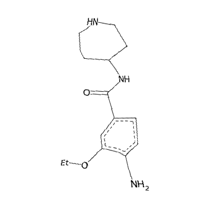 CCOc1cc(C(=O)NC2CCNCC2)ccc1N